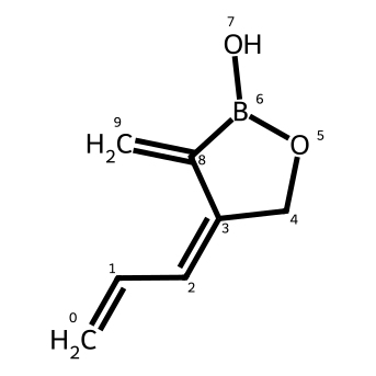 C=C/C=C1/COB(O)C1=C